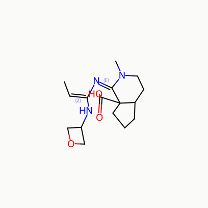 C/C=C(\N=C1\N(C)CCC2CCCC12C(=O)O)NC1COC1